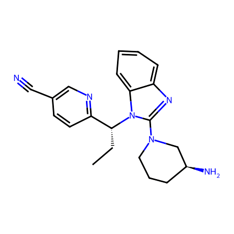 CC[C@H](c1ccc(C#N)cn1)n1c(N2CCC[C@H](N)C2)nc2ccccc21